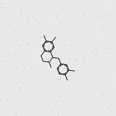 Cc1ccc(CC2c3cc(C)c(C)cc3CCN2C)cc1C